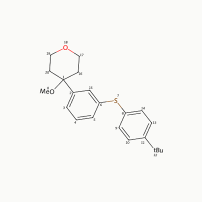 COC1(c2cccc(Sc3ccc(C(C)(C)C)cc3)c2)CCOCC1